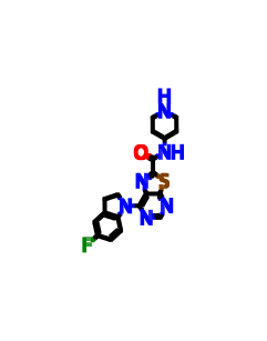 O=C(NC1CCNCC1)c1nc2c(N3CCc4cc(F)ccc43)ncnc2s1